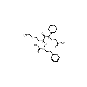 NCCCC[C@H](N[C@@H](CCc1ccccc1)C(=O)O)C(=O)[C@H](CCC(=O)O)N1CCCCC1